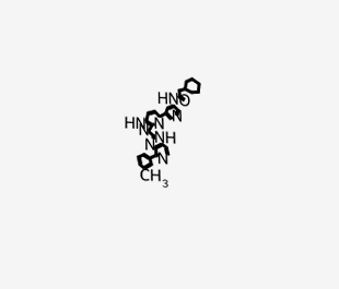 Cc1cccc(-c2nccc3[nH]c(-c4n[nH]c5ccc(-c6cncc(NC(=O)CC7CCCCC7)c6)nc45)nc23)c1